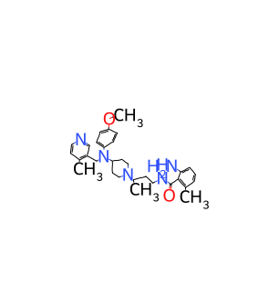 COc1ccc(N(Cc2cnccc2C)C2CCN(C(C)CCNC(=O)c3c(C)cccc3N)CC2)cc1